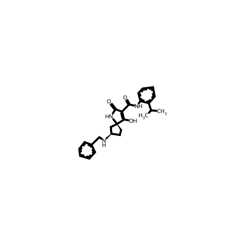 CC(C)c1ccccc1NC(=O)C1=C(O)[C@@]2(CC[C@@H](NCc3ccccc3)C2)NC1=O